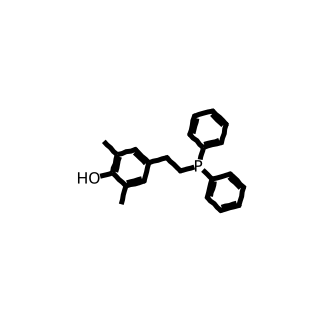 Cc1cc(CCP(c2ccccc2)c2ccccc2)cc(C)c1O